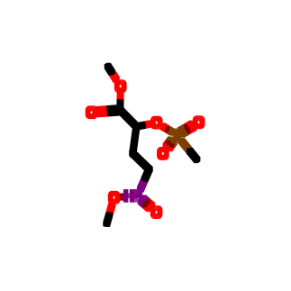 COC(=O)C(CC[PH](=O)OC)OS(C)(=O)=O